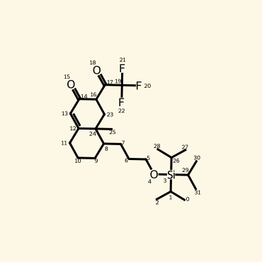 CC(C)[Si](OCCCC1CCCC2=CC(=O)C(C(=O)C(F)(F)F)CC21C)(C(C)C)C(C)C